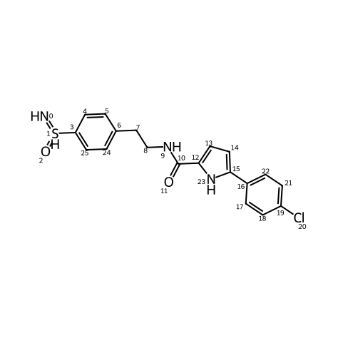 N=[SH](=O)c1ccc(CCNC(=O)c2ccc(-c3ccc(Cl)cc3)[nH]2)cc1